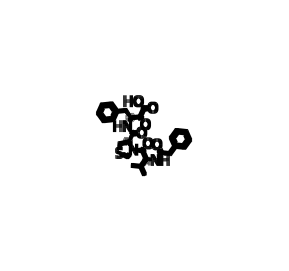 CC(C)[C@H](NC(=O)Cc1ccccc1)C(=O)N1CSC[C@H]1C(=O)N[C@@H](Cc1ccccc1)C(=O)C(=O)O